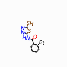 CCc1ccccc1C(=O)Nc1nnc(S)s1